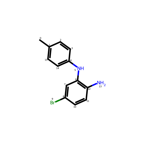 Cc1ccc(Nc2cc(Br)ccc2N)cc1